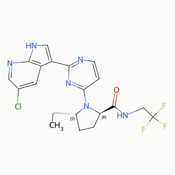 CC[C@H]1CC[C@H](C(=O)NCC(F)(F)F)N1c1ccnc(-c2c[nH]c3ncc(Cl)cc23)n1